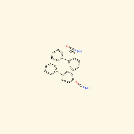 C.N=C=O.N=C=O.c1ccc(-c2ccccc2)cc1.c1ccc(-c2ccccc2)cc1